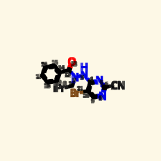 CC(C)CN(Nc1nc(C#N)ncc1Br)C(=O)c1ccccc1